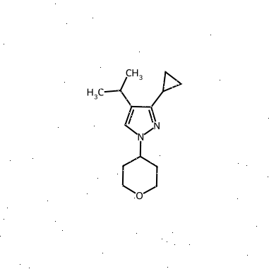 CC(C)c1cn(C2CCOCC2)nc1C1CC1